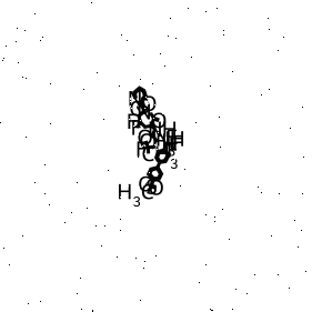 CC(C)(F)C[C@H](N[C@@H](c1ccc(-c2ccc(S(C)(=O)=O)cc2)cc1)C(F)(F)F)C(=O)NC1CC(F)(F)CN(S(=O)(=O)c2ccccn2)CC1=O